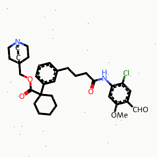 COc1cc(NC(=O)CCCc2cccc(C3(C(=O)OCC45CCN(CC4)CC5)CCCCC3)c2)c(Cl)cc1C=O